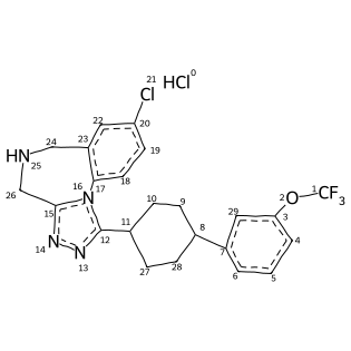 Cl.FC(F)(F)Oc1cccc(C2CCC(c3nnc4n3-c3ccc(Cl)cc3CNC4)CC2)c1